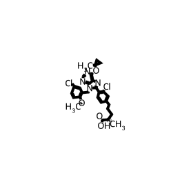 COc1ccc(Cl)cc1Cn1c(-c2ccc(CCC[C@@H](C)C(=O)O)cc2Cl)nc2c(OC3(C)CC3)ncnc21